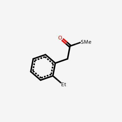 CCc1ccccc1CC(=O)SC